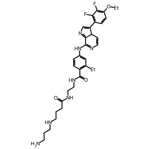 CCOc1ccc(C2=CN=C3C(Nc4ccc(C(=O)NCCNC(=O)CCCNCCCN)c(CC)c4)=NC=CC23)c(F)c1F